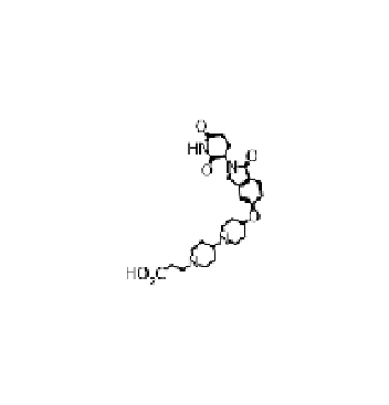 O=C(O)CCN1CCC(N2CCC(Oc3ccc4c(c3)CN(C3CCC(=O)NC3=O)C4=O)CC2)CC1